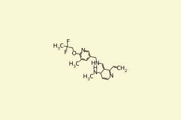 C=CC1=NC=CC(NC)/C1=C\NCc1cnc(OCC(C)(F)F)c(C)c1